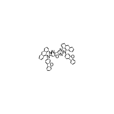 c1ccc2c(N(c3ccc4c(c3)oc3ccccc34)c3cc4oc5nc(N(c6ccc7c(c6)oc6ccccc67)c6c7ccccc7cc7ccccc67)ncc5c4nn3)c3ccccc3cc2c1